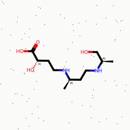 C[C@H](CO)NCC[C@@H](C)NCC[C@H](O)C(=O)O